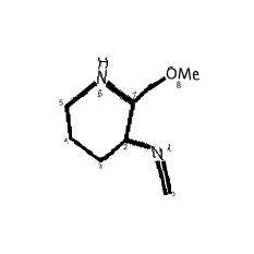 C=NC1CCCNC1OC